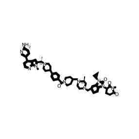 C[C@H]1CN(Cc2ccc3c(c2)n(C2CC2)c(=O)n3C2CCC(=O)N(C)C2=O)CCN1CC1CCN(C(=O)c2ccc(C3CCN([C@@H](C)c4cc5c(-c6ccc(N)nc6)ccnc5n4C)CC3)cc2)CC1